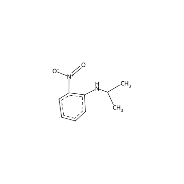 CC(C)Nc1cc[c]cc1[N+](=O)[O-]